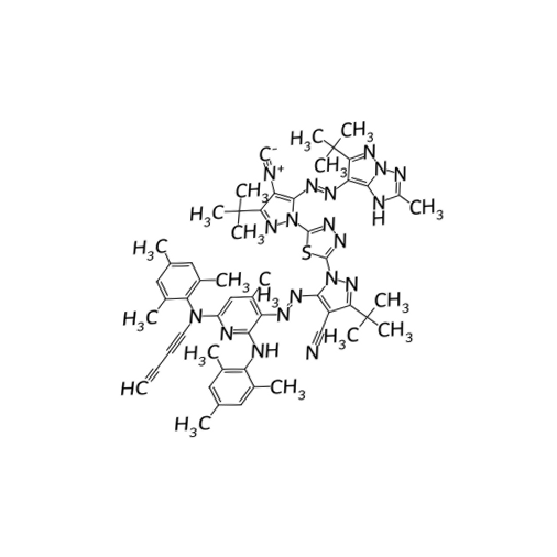 [C-]#[N+]c1c(C(C)(C)C)nn(-c2nnc(-n3nc(C(C)(C)C)c(C#N)c3N=Nc3c(C)cc(N(C#CC#C)c4c(C)cc(C)cc4C)nc3Nc3c(C)cc(C)cc3C)s2)c1N=Nc1c(C(C)(C)C)nn2nc(C)[nH]c12